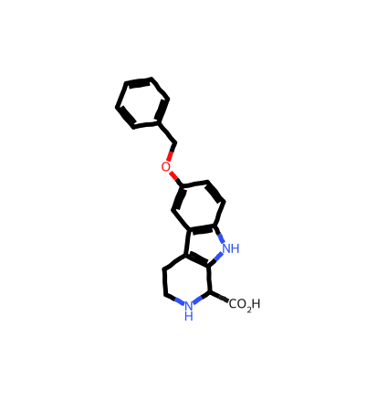 O=C(O)C1NCCc2c1[nH]c1ccc(OCc3ccccc3)cc21